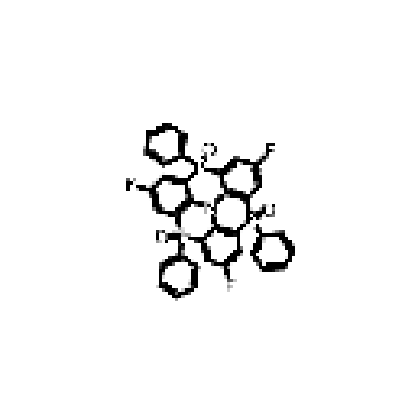 O=P1(c2ccccc2)c2cc(F)cc3c2N2c4c1cc(F)cc4P(=O)(c1ccccc1)c1cc(F)cc(c12)P3(=O)c1ccccc1